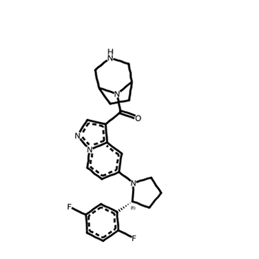 O=C(c1cnn2ccc(N3CCC[C@@H]3c3cc(F)ccc3F)cc12)N1C2CCC1CNC2